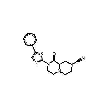 N#CN1CCN2CCN(c3ncc(-c4ccccc4)s3)C(=O)C2C1